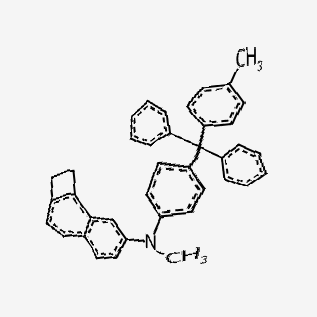 Cc1ccc(C(c2ccccc2)(c2ccccc2)c2ccc(N(C)c3ccc4ccc5c(c4c3)CC5)cc2)cc1